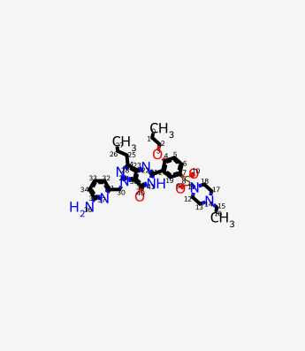 CCCOc1ccc(S(=O)(=O)N2CCN(CC)CC2)cc1-c1nc2c(CCC)nn(Cc3cccc(N)n3)c2c(=O)[nH]1